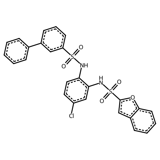 O=S(=O)(Nc1ccc(Cl)cc1NS(=O)(=O)c1cc2ccccc2o1)c1cccc(-c2ccccc2)c1